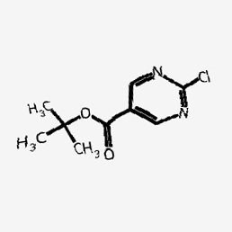 CC(C)(C)OC(=O)c1cnc(Cl)nc1